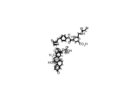 C[C@]12C=CC(=O)C=C1CC[C@@H]1[C@@H]2[C@@H](O)C[C@@]2(C)[C@H]1C[C@H]1O[C@@H](c3cc(F)c(Cc4ccc(NC(=O)[C@H](CCC(=O)O)NC(=O)CNC(=O)CBr)cc4)s3)O[C@]12C(=O)COP(=O)(O)O